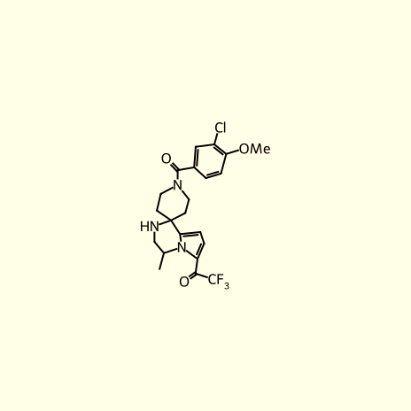 COc1ccc(C(=O)N2CCC3(CC2)NCC(C)n2c(C(=O)C(F)(F)F)ccc23)cc1Cl